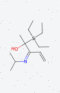 C=CC(=NC(C)C)C(C)(O)[Si](CC)(CC)CC